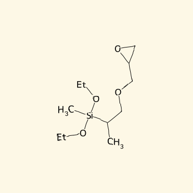 CCO[Si](C)(OCC)C(C)COCC1CO1